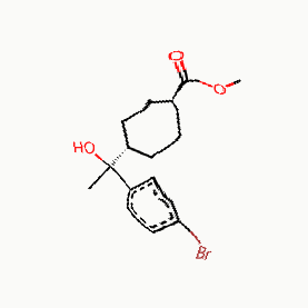 COC(=O)[C@H]1CC[C@H](C(C)(O)c2ccc(Br)cc2)CC1